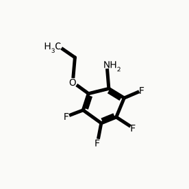 CCOc1c(N)c(F)c(F)c(F)c1F